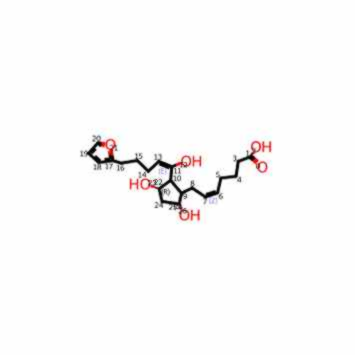 O=C(O)CCC/C=C\CC1C(/C(O)=C\CCCc2ccco2)[C@H](O)C[C@@H]1O